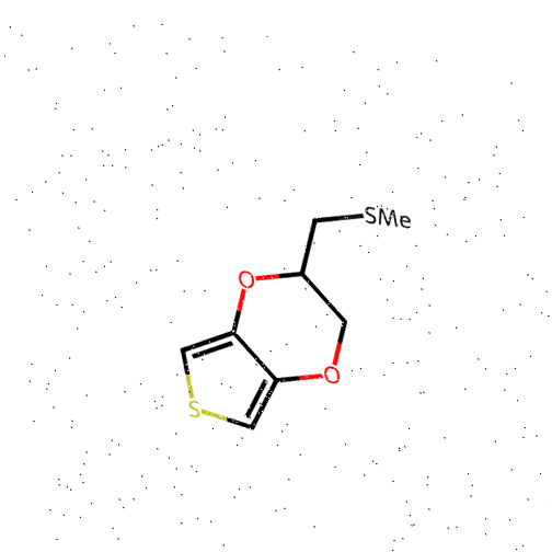 CSCC1COc2cscc2O1